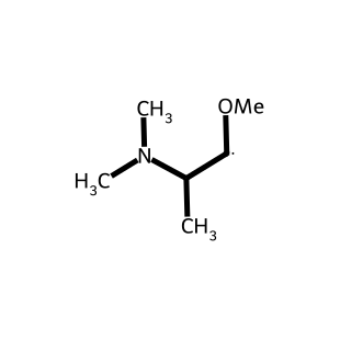 CO[CH]C(C)N(C)C